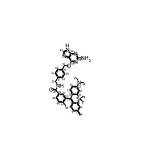 C=c1ccc2c(c1)[Si](C)(C)c1cc(N(C)C)ccc1C=2c1cc(C(=O)NCc2ccc(COc3nc(N)nc4[nH]cnc34)cc2)ccc1C